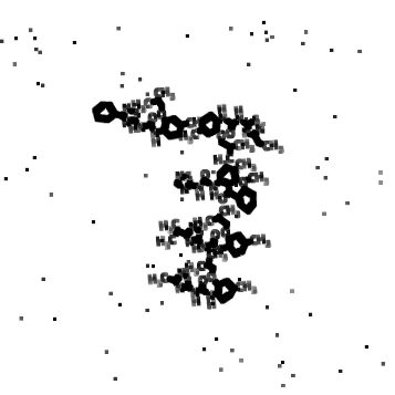 CCc1nsc(NC(=O)Nc2ccc(C)cc2OCC(C)C)n1.COc1ccccc1C(=O)c1cc(C)ccc1NC(=O)Nc1ncns1.Cc1ccc(NC(=O)Nc2nc(-c3ccccc3)ns2)c(OCC(C)C)c1.Cc1ccc(NC(=O)Nc2nc(C(C)C)ns2)c(OCC(C)C)c1.Cc1ccc(NC(=O)Nc2nc(C)ns2)c(OCC(C)C)c1